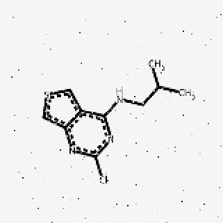 CC(C)CNc1nc(Cl)nc2cscc12